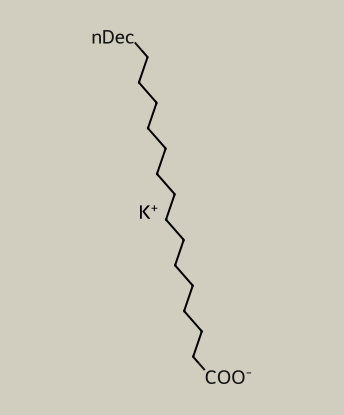 CCCCCCCCCCCCCCCCCCCCCCCCC(=O)[O-].[K+]